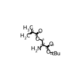 C=C(C)C(=O)OC[C@H](N)C(=O)OC(C)(C)C